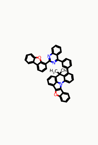 CC1(C)c2c(-c3cccc(-c4nc(-c5cccc6c5oc5ccccc56)nc5ccccc45)c3)cccc2-n2c3c1cccc3c1oc3ccccc3c12